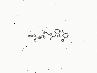 CN(CCOC(=O)Cc1ccccc1Nc1c(Cl)cccc1Cl)C(=O)CNC(=O)OC(C)(C)C